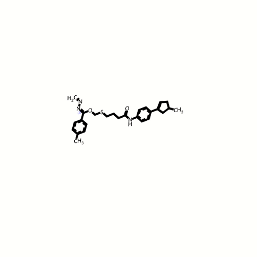 C=N/N=C(\OCSCCCC(=O)Nc1ccc(C2=CCC(C)C2)cc1)c1ccc(C)cc1